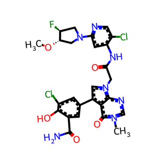 CO[C@H]1CN(c2cc(NC(=O)Cn3cc(-c4cc(Cl)c(O)c(C(N)=O)c4)c4c(=O)n(C)cnc43)c(Cl)cn2)C[C@@H]1F